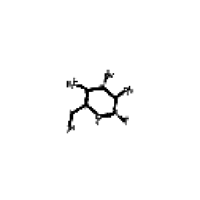 CC1[C@H](S)OC(CS)[C@@H](C)[C@@H]1O